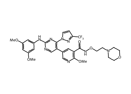 COc1cc(Nc2ncc(-c3cnc(OC)c(C(=O)NOCCN4CCOCC4)c3)c(-n3ccc(C(F)(F)F)n3)n2)cc(OC)c1